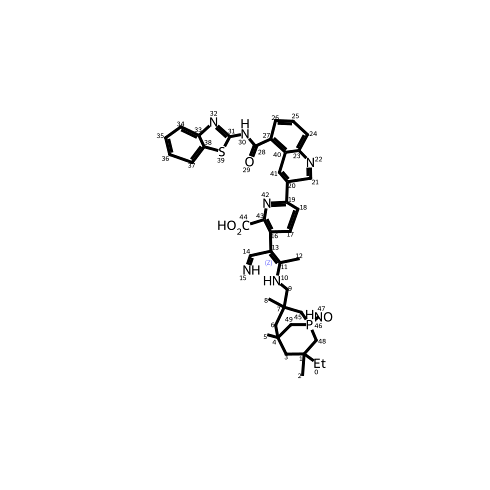 CCC1(C)CC2(C)CC(C)(CN/C(C)=C(\C=N)c3ccc(-c4cnc5cccc(C(=O)Nc6nc7ccccc7s6)c5c4)nc3C(=O)O)C[PH](N=O)(C1)C2